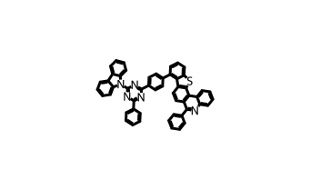 c1ccc(-c2nc(-c3ccc(-c4cccc5sc6c(ccc7c(-c8ccccc8)nc8ccccc8c76)c45)cc3)nc(-n3c4ccccc4c4ccccc43)n2)cc1